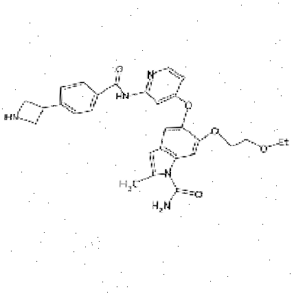 CCOCCOc1cc2c(cc1Oc1ccnc(NC(=O)c3ccc(C4CNC4)cc3)c1)cc(C)n2C(N)=O